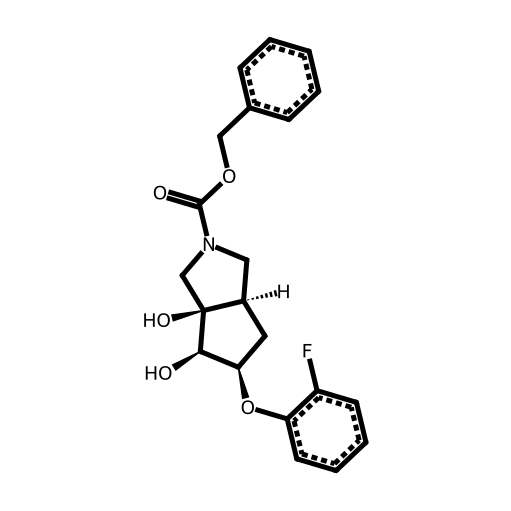 O=C(OCc1ccccc1)N1C[C@H]2C[C@@H](Oc3ccccc3F)[C@@H](O)[C@]2(O)C1